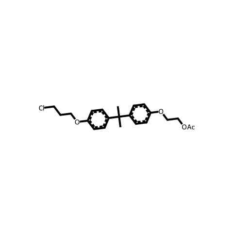 CC(=O)OCCOc1ccc(C(C)(C)c2ccc(OCCCCl)cc2)cc1